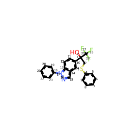 OC(CSc1ccccc1)(c1ccc2c(cnn2-c2ccccc2)c1)C(F)(F)F